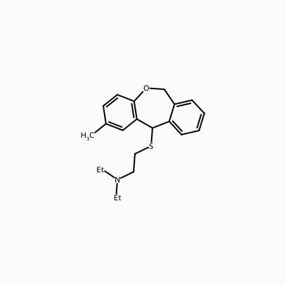 CCN(CC)CCSC1c2ccccc2COc2ccc(C)cc21